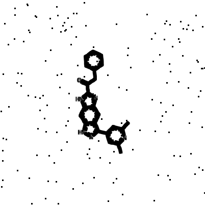 Cc1cc(-c2n[nH]c3cc4[nH]c(C(=O)Cc5ccccc5)nc4cc23)cc(C)n1